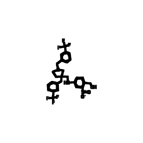 O=[N+]([O-])c1cc(NCC2(Cc3cccc(C(F)(F)F)c3)CCN(Cc3cccc(C(F)(F)F)c3)C2)ccc1CO